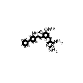 COc1cc(Cc2cnc(N)nc2N)cc(C=Cc2ccc(-c3ccccc3)cc2)c1OC